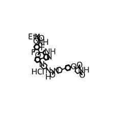 CCN(C)S(=O)(=O)Nc1ccc(F)c(C(=O)c2c[nH]c3nccc(-c4ccccc4N4CCC(NCC(=O)N5CCC(c6ccc(OC7CCC(=O)NC7=O)cc6)CC5)CC4)c23)c1F.Cl